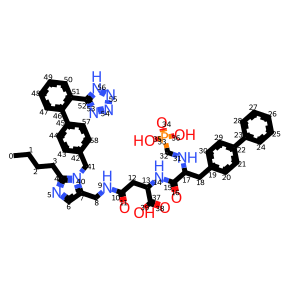 CCCCc1ncc(CNC(=O)CC(NC(=O)C(Cc2ccc(-c3ccccc3)cc2)NCP(=O)(O)O)C(=O)O)n1Cc1ccc(-c2ccccc2-c2nnn[nH]2)cc1